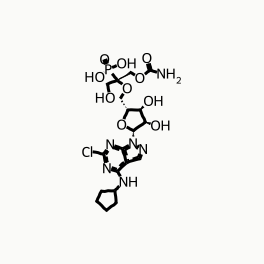 NC(=O)OC[C@](CO)(OC[C@H]1O[C@@H](n2ncc3c(NC4CCCC4)nc(Cl)nc32)[C@H](O)[C@@H]1O)P(=O)(O)O